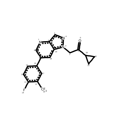 O=C(Cn1ncc2ncc(-c3ccc(F)c(C(F)(F)F)c3)cc21)C1CC1